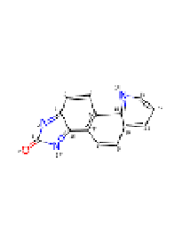 O=C1N=c2ccc3c(ccc4cccnc43)c2=N1